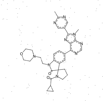 Cc1ncc(-c2nc3c(-c4ccc5c(c4)C4(CCCN4C(=O)C4CC4)C(=O)N5CCN4CCOCC4)ncnc3n2C)cn1